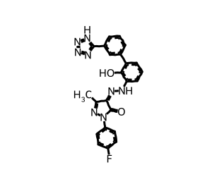 CC1=NN(c2ccc(F)cc2)C(=O)C1=NNc1cccc(-c2cccc(-c3nnn[nH]3)c2)c1O